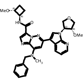 CO[C@H]1COC[C@@H]1n1cc(-c2cc(N(C)Cc3ccccc3)c3ncc(C(=O)N[C@@H]4CC[C@H]4OC)n3n2)c2cccnc21